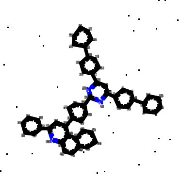 c1ccc(-c2ccc(-c3cc(-c4ccc(-c5ccccc5)cc4)nc(-c4ccc(-c5cc(-c6ccccc6)nc6ccc7ccccc7c56)cc4)n3)cc2)cc1